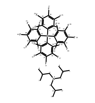 CC(C)[CH2][Al]([CH2]C(C)C)[CH2]C(C)C.Fc1c(F)c(F)c([B-](c2c(F)c(F)c(F)c(F)c2F)(c2c(F)c(F)c(F)c(F)c2F)c2c(F)c(F)c(F)c(F)c2F)c(F)c1F